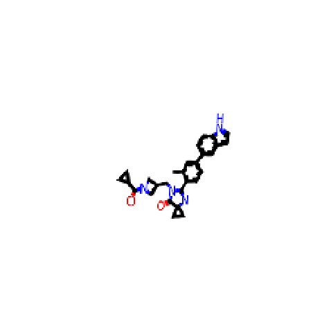 Cc1cc(-c2ccc3[nH]ccc3c2)ccc1C1=NC2(CC2)C(=O)N1CC1CN(C(=O)C2CC2)C1